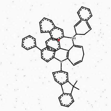 CC1(C)c2ccccc2-c2ccc(N(C3=C(c4ccccc4)C([SiH](c4ccc5ccccc5c4)C4C=c5ccccc5=CC4)=CCC=C3)c3ccc(-c4ccccc4)cc3)cc21